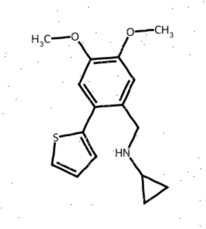 COc1cc(CNC2CC2)c(-c2cccs2)cc1OC